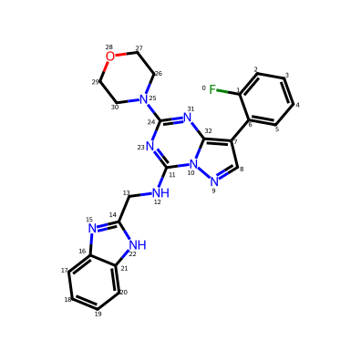 Fc1ccccc1-c1cnn2c(NCc3nc4ccccc4[nH]3)nc(N3CCOCC3)nc12